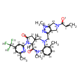 C=CC(=O)N1Cc2c(CN3C[C@H]4CC(=O)N(c5cc(C(F)(F)F)cc(C)n5)[C@@H]4C(=O)N(C)c4cccc(C)c43)nn(C)c2C1